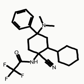 CN(C)C1(c2ccccc2)CCC(C#N)(NC(=O)C(F)(F)F)C(C2CCCCC2)C1